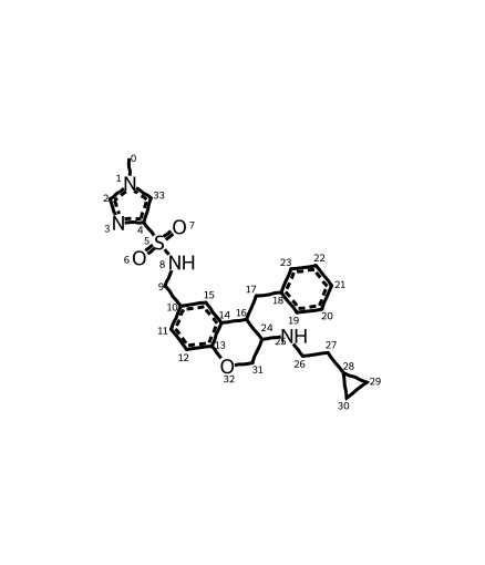 Cn1cnc(S(=O)(=O)NCc2ccc3c(c2)C(Cc2ccccc2)C(NCCC2CC2)CO3)c1